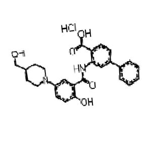 Cl.O=C(Nc1cc(-c2ccccc2)ccc1C(=O)O)c1cc(N2CCC(CO)CC2)ccc1O